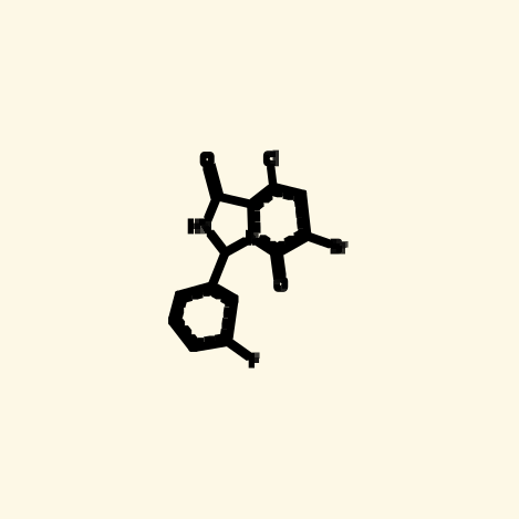 O=C1NC(c2cccc(F)c2)n2c1c(Cl)cc(Br)c2=O